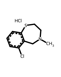 CN1CCSc2cccc(Cl)c2C1.Cl